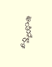 CC(C)(C)OC(=O)N1CCC(Oc2cc3nc(Nc4cccc(C5CN=CO5)c4)ncc3cc2Br)CC1